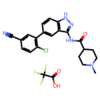 CN1CCC(C(=O)Nc2n[nH]c3ccc(-c4cc(C#N)ccc4Cl)cc23)CC1.O=C(O)C(F)(F)F